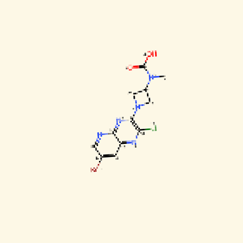 CN(C(=O)O)C1CN(c2nc3ncc(Br)cc3nc2Cl)C1